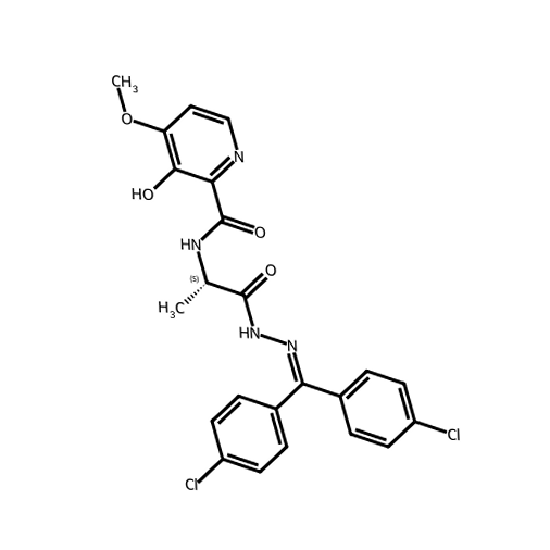 COc1ccnc(C(=O)N[C@@H](C)C(=O)NN=C(c2ccc(Cl)cc2)c2ccc(Cl)cc2)c1O